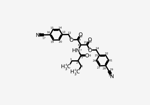 CCC(CC)C(=O)NC(C(=O)OCc1ccc(C#N)cc1)C(=O)OCc1ccc(C#N)cc1